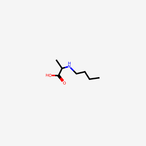 CCCCNC(C)C(=O)O